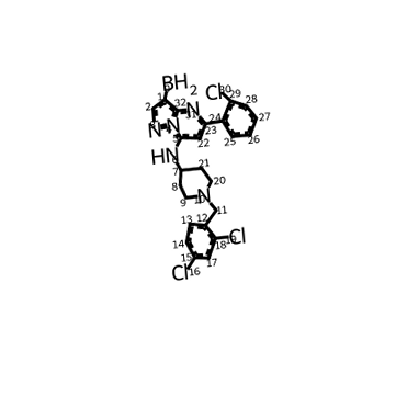 Bc1cnn2c(NC3CCN(Cc4ccc(Cl)cc4Cl)CC3)cc(-c3ccccc3Cl)nc12